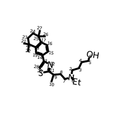 CCN(CCCCO)CCC(C)c1nc(-c2ccc3c(c2)C(C)(C)CCC3(C)C)cs1